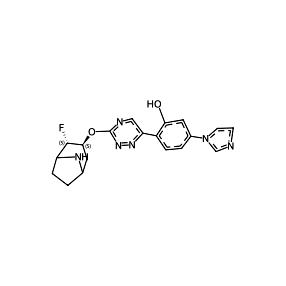 Oc1cc(-n2ccnc2)ccc1-c1cnc(O[C@H]2CC3CCC(N3)[C@@H]2F)nn1